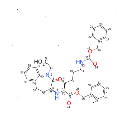 O=C(O)CN1C(=O)[C@@H](N[C@@H](CCCCNC(=O)OCc2ccccc2)C(=O)OCc2ccccc2)CCc2ccccc21